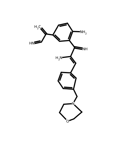 C=C(C=N)c1ccc(N)c(C(=N)/C(N)=C/c2cccc(CN3CCOCC3)c2)c1